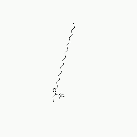 CCCCCCCCCCCCCCCCCCOC(CC)[N+](C)(C)C